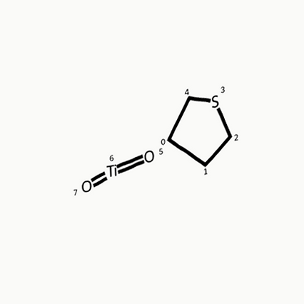 C1CCSC1.[O]=[Ti]=[O]